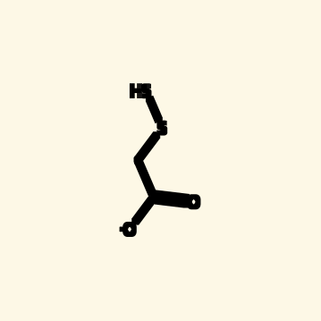 [O]C(=O)CSS